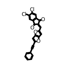 O=C1C(=Cc2cc3oc(C#Cc4ccccc4)cc3o2)C(=O)c2cc(Cl)c(Cl)cc21